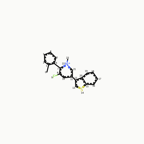 Cc1ccccc1-c1c(F)cc(-c2csc3ccccc23)c[n+]1C